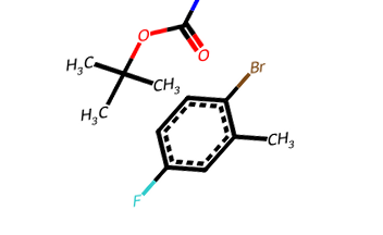 CC(C)(C)OC(N)=O.Cc1cc(F)ccc1Br